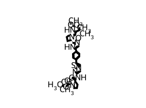 COC(=O)N[C@H](C(=O)N1CCC[C@H]1c1ncc(-c2ccc(-c3cn4cc(NC(=O)C5CCCN5C(=O)OC(C)(C)C)nc4s3)cc2)[nH]1)C(C)C